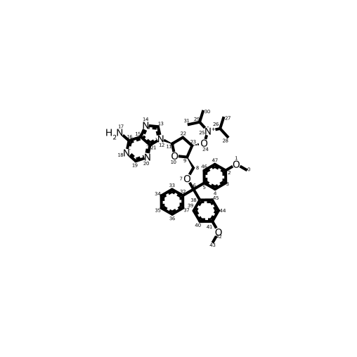 COc1ccc(C(OC[C@H]2O[C@@H](n3cnc4c(N)ncnc43)C[C@@H]2O[N+](C(C)C)C(C)C)(c2ccccc2)c2ccc(OC)cc2)cc1